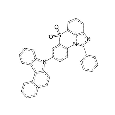 O=S1(=O)c2cc(-n3c4ccccc4c4c5ccccc5ccc43)ccc2-n2c(-c3ccccc3)nc3cccc1c32